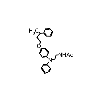 CC(=O)NCCN(c1ccccc1)c1ccc(OCCC(C)c2ccccc2)cc1